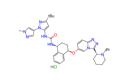 CC(C)N1CCCC[C@H]1c1nnc2ccc(O[C@@H]3CC[C@H](NC(=O)Nc4cc(C(C)(C)C)nn4-c4cnn(C)c4)c4ccccc43)cn12.Cl